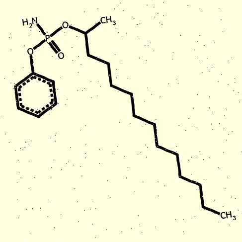 CCCCCCCCCCCCC(C)OP(N)(=O)Oc1ccccc1